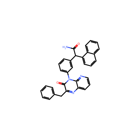 NC(=O)C(c1cccc(-n2c(=O)c(Cc3ccccc3)nc3cccnc32)c1)c1cccc2ccccc12